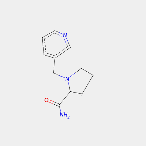 NC(=O)C1[CH]CCN1Cc1cccnc1